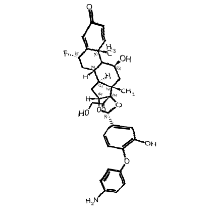 C[C@]12C=CC(=O)C=C1[C@@H](F)C[C@@H]1C2[C@@H](O)C[C@@]2(C)[C@H]1C[C@H]1O[C@@H](c3ccc(Oc4ccc(N)cc4)c(O)c3)O[C@]12C(=O)CO